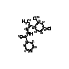 CC(=NNC(=O)c1ccncc1)c1ccc(Cl)cc1Cl